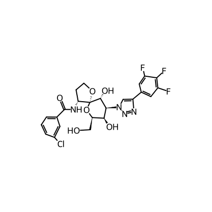 O=C(N[C@@H]1CCO[C@]12O[C@H](CO)[C@H](O)[C@H](n1cc(-c3cc(F)c(F)c(F)c3)nn1)[C@H]2O)c1cccc(Cl)c1